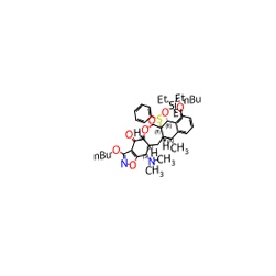 CCCCOc1cccc2c1[C@@H](O[Si](CC)(CC)CC)[C@@]1(Sc3ccccc3)C(=O)O[C@H]3C(=O)c4c(OCCCC)noc4[C@@H](N(C)C)[C@@H]3C[C@H]1[C@H]2C